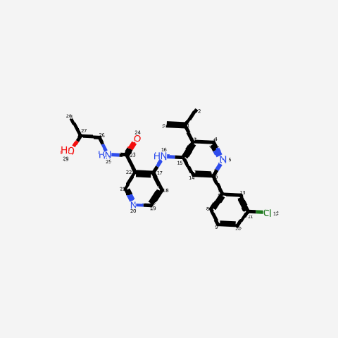 C=C(C)c1cnc(-c2cccc(Cl)c2)cc1Nc1ccncc1C(=O)NCC(C)O